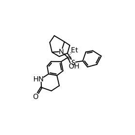 CC[C@](O)(c1ccc2c(c1)CCC(=O)N2)N1C2CCC1CC(Sc1ccccc1)C2